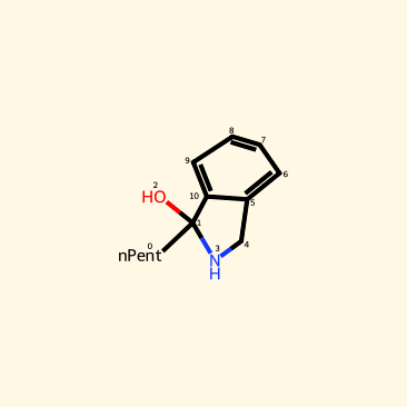 CCCCCC1(O)NCc2ccccc21